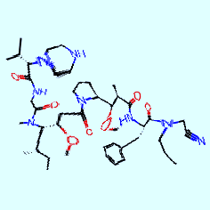 CC[C@H](C)[C@@H](C(CC(=O)N1CCC[C@H]1[C@H](OC)[C@@H](C)C(=O)N[C@@H](Cc1ccccc1)C(=O)N(CC)CC#N)OC)N(C)C(=O)CNC(=O)[C@H](C(C)C)N1CCNCC1